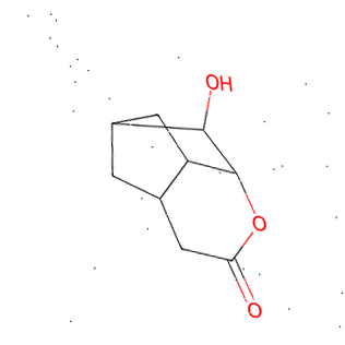 O=C1CC2CC3CC2C(O1)C3O